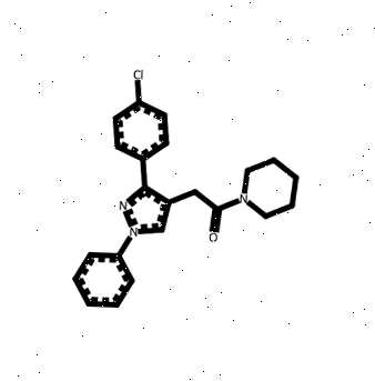 O=C(Cc1cn(-c2ccccc2)nc1-c1ccc(Cl)cc1)N1CCCCC1